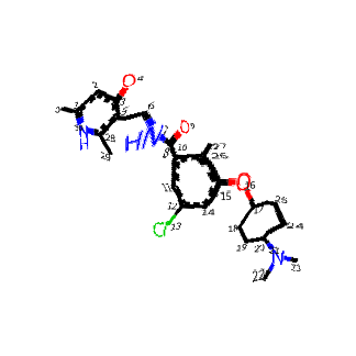 Cc1cc(=O)c(CNC(=O)c2cc(Cl)cc(OC3CCC(N(C)C)CC3)c2C)c(C)[nH]1